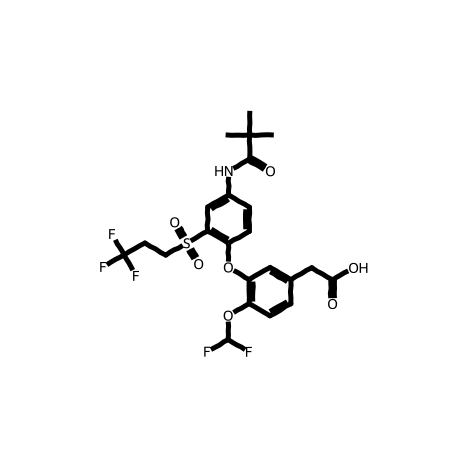 CC(C)(C)C(=O)Nc1ccc(Oc2cc(CC(=O)O)ccc2OC(F)F)c(S(=O)(=O)CCC(F)(F)F)c1